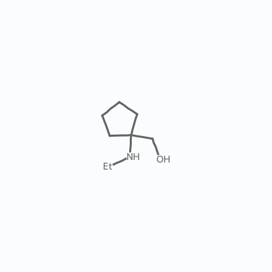 CCNC1(CO)CCCC1